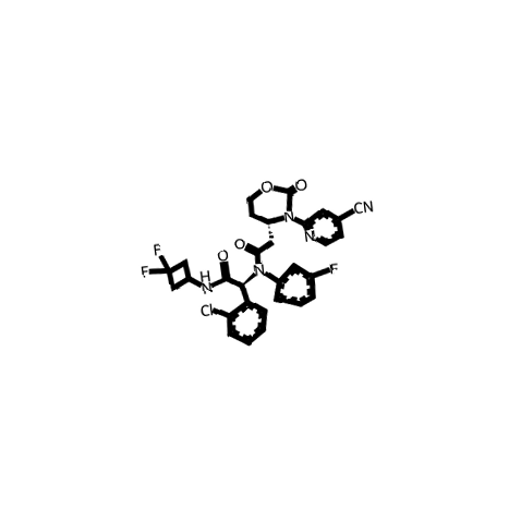 N#Cc1ccnc(N2C(=O)OCC[C@H]2CC(=O)N(c2cccc(F)c2)[C@H](C(=O)NC2CC(F)(F)C2)c2ccccc2Cl)c1